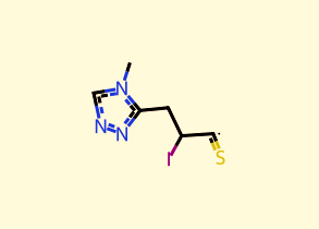 Cn1cnnc1CC(I)[C]=S